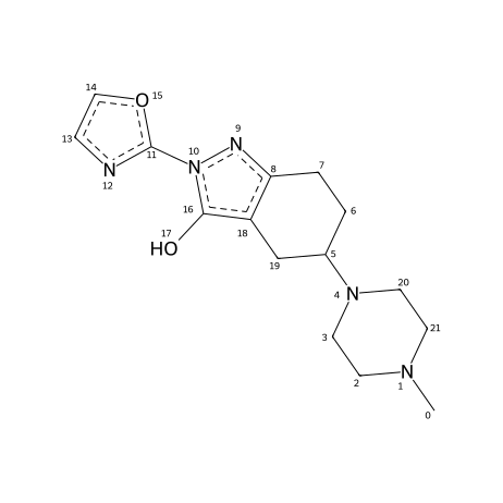 CN1CCN(C2CCc3nn(-c4ncco4)c(O)c3C2)CC1